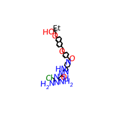 CC[C@H](O)COc1ccc2cc(COc3ccc(C(=O)N4CCC5(CC4)CN/C(=N\C(=O)c4nc(Cl)c(N)nc4N)N5)cc3)ccc2c1